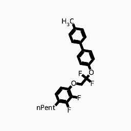 CCCCCc1ccc(OCC(F)(F)Oc2ccc(-c3ccc(C)cc3)cc2)c(F)c1F